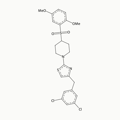 COc1ccc(OC)c(S(=O)(=O)C2CCN(c3nc(Cc4cc(Cl)cc(Cl)c4)cs3)CC2)c1